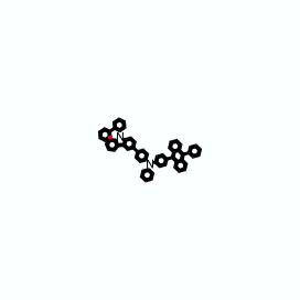 c1ccc(-c2ccccc2-n2c3ccccc3c3cc(-c4ccc(N(c5ccccc5)c5ccc(-c6c7ccccc7c(-c7ccccc7)c7ccccc67)cc5)cc4)ccc32)cc1